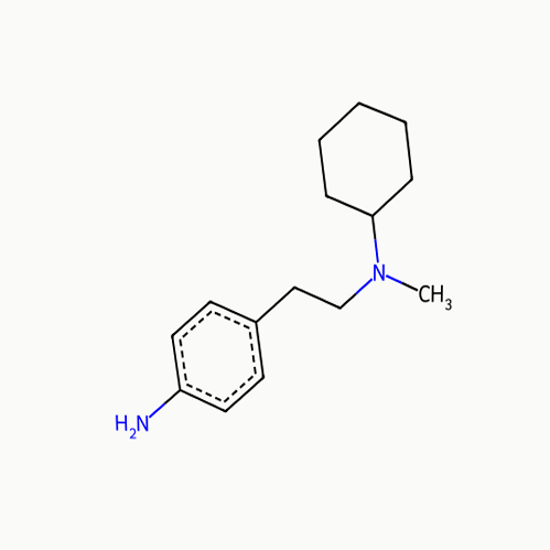 CN(CCc1ccc(N)cc1)C1CCCCC1